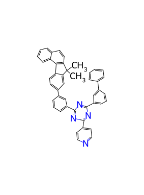 CC1(C)c2cc(-c3cccc(-c4nc(-c5ccncc5)nc(-c5cccc(-c6ccccc6)c5)n4)c3)ccc2-c2c1ccc1ccccc21